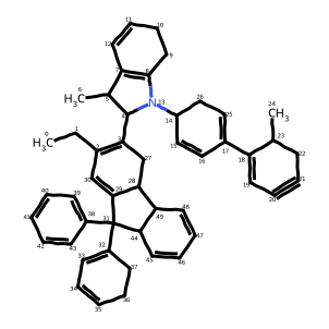 CCC1=C(C2C(C)C3=C(CCC=C3)N2C2C=CC(C3=CC#CCC3C)=CC2)CC2C(=C1)C(C1=CC=CCC1)(c1ccccc1)C1C=CC=CC21